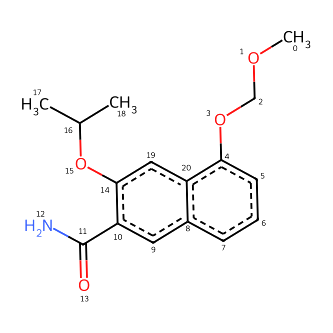 COCOc1cccc2cc(C(N)=O)c(OC(C)C)cc12